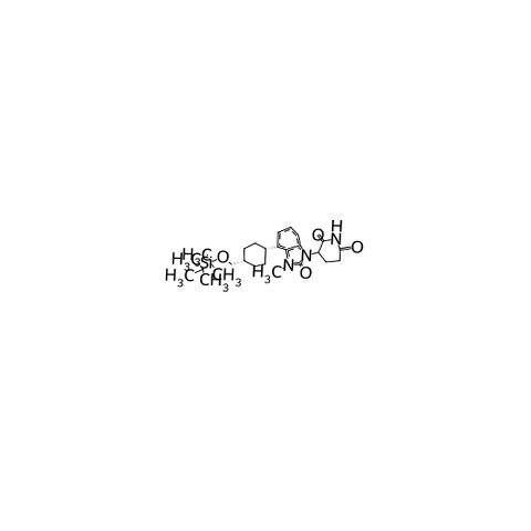 Cn1c(=O)n(C2CCC(=O)NC2=O)c2cccc([C@H]3CC[C@@H](CO[Si](C)(C)C(C)(C)C)CC3)c21